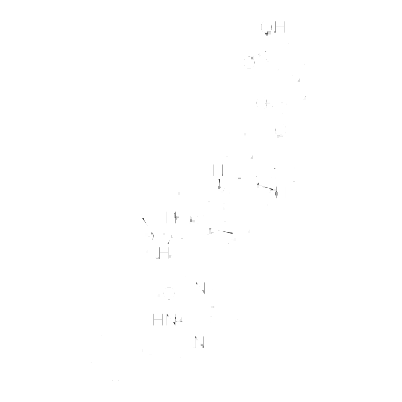 C=C(C)[C@@H]1CC[C@]2(C(=O)N3CCC[C@@H]3c3ncc(-c4ccccc4)[nH]3)CC[C@]3(C)[C@H](CC[C@@H]4[C@@]5(C)CC[C@H](OC(=O)CC(C)(C)CC(=O)O)C(C)(C)[C@@H]5CC[C@]43C)[C@@H]12